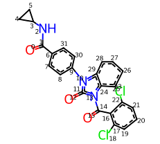 O=C(NC1CC1)c1ccc(-n2c(=O)n(C(=O)c3c(Cl)cccc3Cl)c3ccccc32)cc1